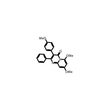 COc1ccc(-c2c(-c3ccccc3)nc3cc(OC)cc(OC)n3c2=O)cc1